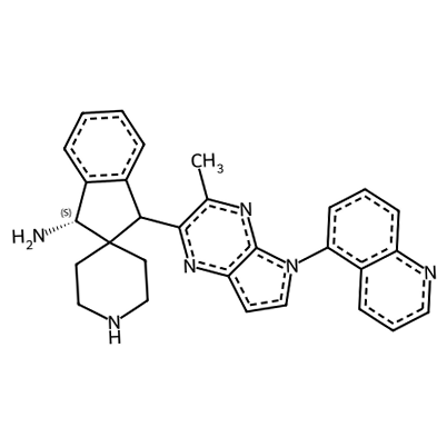 Cc1nc2c(ccn2-c2cccc3ncccc23)nc1C1c2ccccc2[C@@H](N)C12CCNCC2